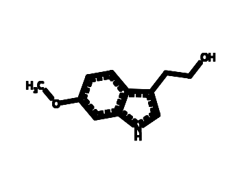 COc1ccc2c(CCO)c[nH]c2c1